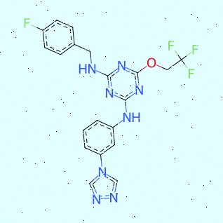 Fc1ccc(CNc2nc(Nc3cccc(-n4cnnc4)c3)nc(OCC(F)(F)F)n2)cc1